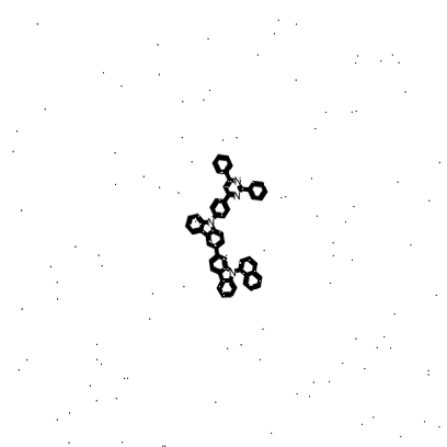 c1ccc(-c2cc(-c3ccc(-n4c5ccccc5c5cc(-c6ccc7c8ccccc8n(-c8cccc9ccccc89)c7c6)ccc54)cc3)nc(-c3ccccc3)n2)cc1